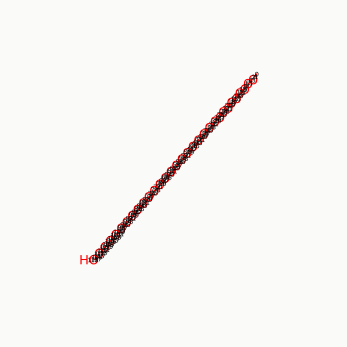 C=CCOCCOCCOCCOCCOCCOCCOCCOCCOCCOCCCOCCCOCCCOCCCOCCCOCCCOCCCOCCCOCCCOCCCOCCCOCCCOCCCOCCCOCCCOCCCOCCCOCCCOCCCOCCCOCCCOCCCO